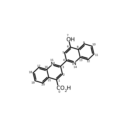 O=C(O)c1cc(-c2cc(O)c3ccccc3n2)nc2ccccc12